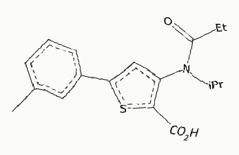 CCC(=O)N(c1cc(-c2cccc(C)c2)sc1C(=O)O)C(C)C